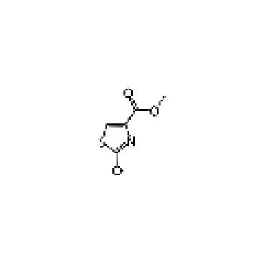 COC(=O)c1csc([O])n1